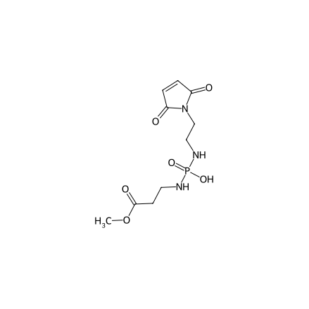 COC(=O)CCNP(=O)(O)NCCN1C(=O)C=CC1=O